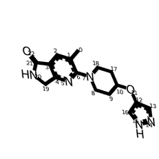 Cc1cc2c(nc1N1CCC(Oc3cn[nH]c3)CC1)CNC2=O